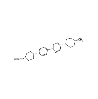 CCCCCCC[C@H]1CC[C@H](c2ccc(-c3ccc([C@H]4CC[C@H](C)CC4)cc3)cc2)CC1